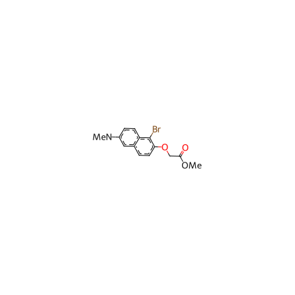 CNc1ccc2c(Br)c(OCC(=O)OC)ccc2c1